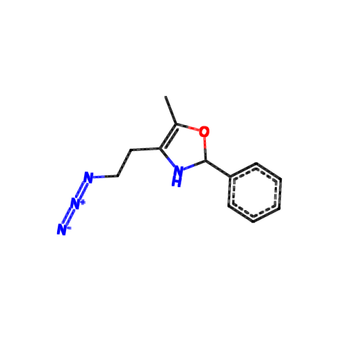 CC1=C(CCN=[N+]=[N-])NC(c2ccccc2)O1